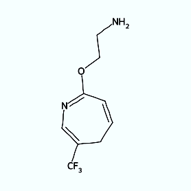 NCCOC1=NC=C(C(F)(F)F)CC=C1